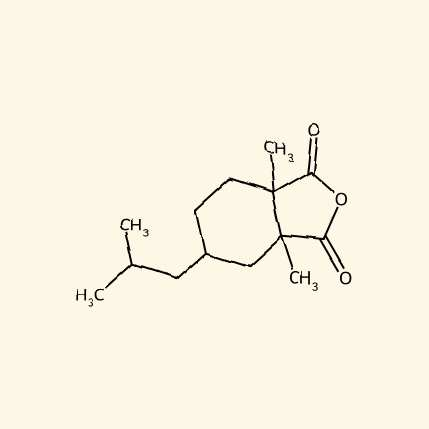 CC(C)CC1CCC2(C)C(=O)OC(=O)C2(C)C1